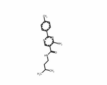 Cc1ccc(-c2ncc(C(=O)NCCC(C)C)c(N)n2)cc1